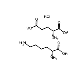 Cl.NCCCC[C@H](N)C(=O)O.N[C@@H](CCC(=O)O)C(=O)O